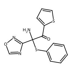 NC(Sc1ccccc1)(C(=O)c1cccs1)c1ncon1